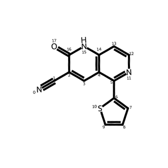 N#Cc1cc2c(-c3cccs3)nccc2[nH]c1=O